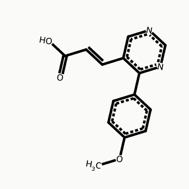 COc1ccc(-c2ncncc2C=CC(=O)O)cc1